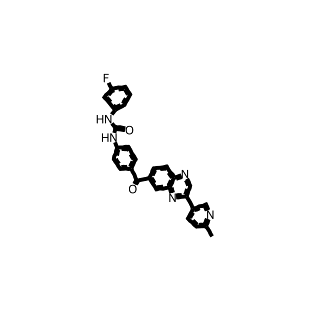 Cc1ccc(-c2cnc3ccc(C(=O)c4ccc(NC(=O)Nc5cccc(F)c5)cc4)cc3n2)cn1